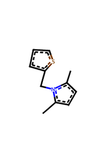 Cc1[c]cc(C)n1Cc1cccs1